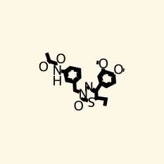 CCC1SC(=O)N(Cc2cccc(NC(=O)C(C)=O)c2)N=C1c1ccc(OC)c(OC)c1